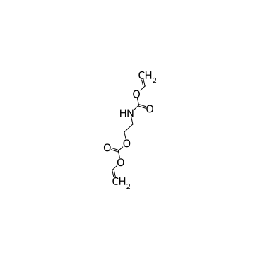 C=COC(=O)NCCOC(=O)OC=C